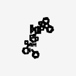 O=C(N[C@H]1CO[P@](CCCCC2(C(=O)NCC(F)(F)F)c3ccccc3-c3ccccc32)OC1)C1CCCCN1Cc1ccccc1